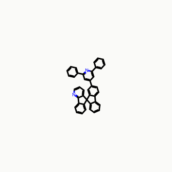 c1ccc(-c2cc(-c3ccc4c(c3)C3(c5ccccc5-4)c4ccccc4-c4ncccc43)cc(-c3ccccc3)n2)cc1